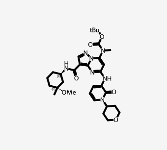 CO[C@]1(C)CCC[C@@H](NC(=O)c2cnn3c(N(C)C(=O)OC(C)(C)C)cc(Nc4cccn(C5CCOCC5)c4=O)nc23)C1